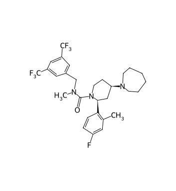 Cc1cc(F)ccc1[C@@H]1C[C@H](N2CCCCCC2)CCN1C(=O)N(C)Cc1cc(C(F)(F)F)cc(C(F)(F)F)c1